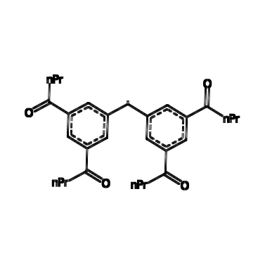 CCCC(=O)c1cc([CH]c2cc(C(=O)CCC)cc(C(=O)CCC)c2)cc(C(=O)CCC)c1